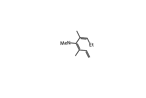 C=C/C(C)=C(NC)\C(C)=C/CC